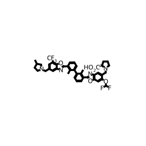 Cc1c(-c2nc3cc(CN4CCC[C@H]4C(=O)O)c(OC(F)F)cc3o2)cccc1-c1cccc(-c2nc3cc(CN4CCC(C)C4)cc(C(F)(F)F)c3o2)c1C